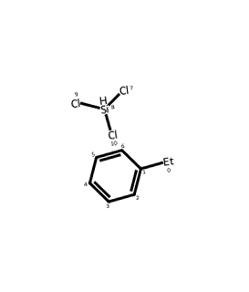 CCc1ccccc1.Cl[SiH](Cl)Cl